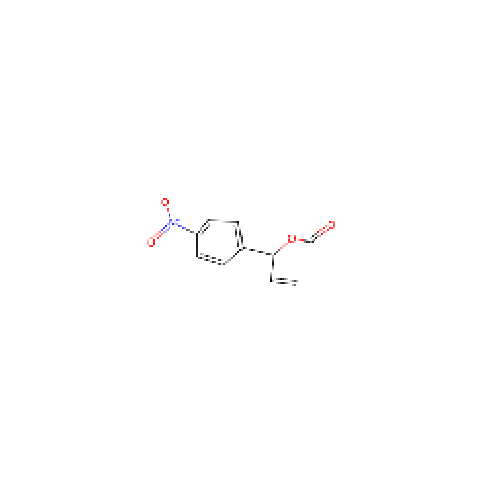 C=CC(O[C]=O)c1ccc([N+](=O)[O-])cc1